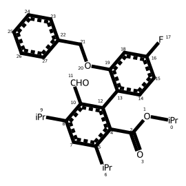 CC(C)OC(=O)c1c(C(C)C)cc(C(C)C)c(C=O)c1-c1ccc(F)cc1OCc1ccccc1